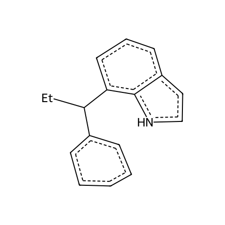 [CH2]CC(c1ccccc1)c1cccc2cc[nH]c12